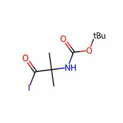 CC(C)(C)OC(=O)NC(C)(C)C(=O)I